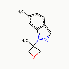 Cc1ccc2cnn(C3(C)COC3)c2c1